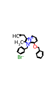 C#CCc1c(C)n(Cc2ccccc2)c2c(OCc3ccccc3)ccc[n+]12.[Br-]